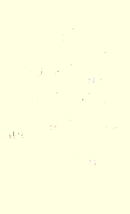 CC(C)c1ccc(C2C(=O)c3c(cccc3C(=O)O)NC2c2ccc(CN(C)C)cc2)cc1